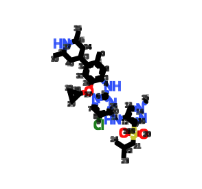 Cc1cc(Nc2ncc(Cl)c(Nc3cn(C)nc3S(=O)(=O)CC(C)C)n2)c(OC2CC2)cc1C1CC(C)NC(C)C1